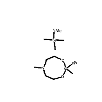 CCC[Si]1(C)OCCN(C)CCO1.CN[Si](C)(C)C